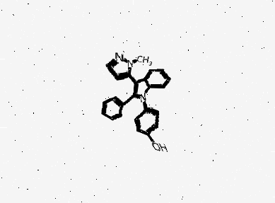 Cn1nccc1-c1c(-c2ccccc2)n(-c2ccc(O)cc2)c2ccccc12